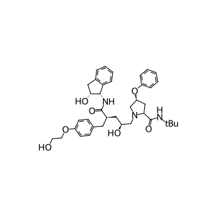 CC(C)(C)NC(=O)C1C[C@H](Oc2ccccc2)CN1C[C@@H](O)C[C@@H](Cc1ccc(OCCO)cc1)C(=O)N[C@H]1c2ccccc2C[C@H]1O